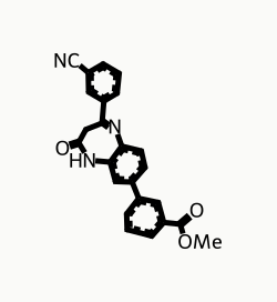 COC(=O)c1cccc(-c2ccc3c(c2)NC(=O)CC(c2cccc(C#N)c2)=N3)c1